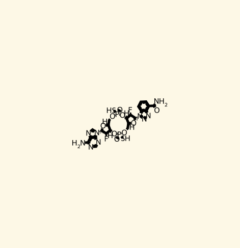 NC(=O)c1cccc2c1nnn2[C@@H]1O[C@@H]2COP(=O)(S)O[C@H]3[C@@H](F)[C@H](n4cnc5c(N)ncnc54)O[C@@H]3COP(=O)(S)O[C@H]2[C@H]1F